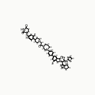 O=C1CC[C@H](Nc2ccc(C3CCN(CC(=O)N4CCCN(c5ccc(-c6cc(F)c7c(c6)C(=O)N(C(C(=O)Nc6nccs6)c6ncn8c6CCC8)C7)cc5)CC4)CC3)c(F)c2)C(=O)N1